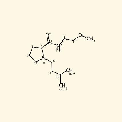 COCCNC(=O)[C@@H]1CCCN1CCC(C)C